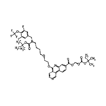 CC(C)(C)OC(=O)OCOC(=O)c1ccc2c(c1)nc(OCCOCCCCN(Cc1cc(F)c(OC(F)(F)F)c(F)c1)C(=O)OC(C)(C)C)c1ccncc12